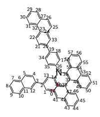 c1cc(-c2ccc3ccccc3c2)cc(N(c2ccc(-c3ccc4c(ccc5ccccc54)c3)cc2)c2c(-c3cccc4ccccc34)c3ccccc3c3ccccc23)c1